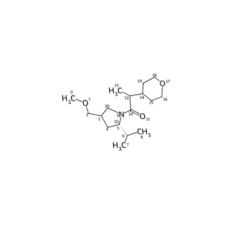 COCC1C[C@@H](C(C)C)N(C(=O)C(C)C2CCOCC2)C1